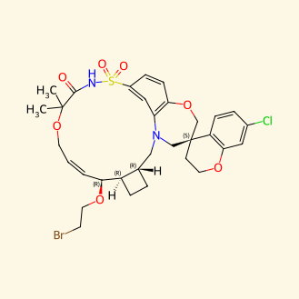 CC1(C)OCC=C[C@H](OCCBr)[C@@H]2CC[C@H]2CN2C[C@@]3(CCOc4cc(Cl)ccc43)COc3ccc(cc32)S(=O)(=O)NC1=O